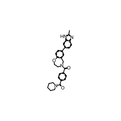 Cc1nc2ccc(-c3ccc4c(c3)CN(C(=O)c3ccc(C(=O)N5CCCCC5)cc3)CCO4)cc2[nH]1